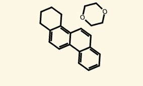 C1COCCO1.c1ccc2c(c1)ccc1c3c(ccc12)CCCC3